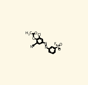 CC(=O)Oc1c(Cl)cc(N=Nc2cccc(S(=O)(=O)F)c2)cc1C#N